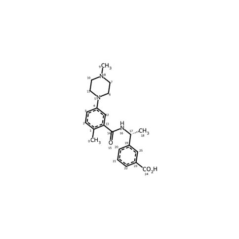 Cc1ccc(N2CCN(C)CC2)cc1C(=O)N[C@H](C)c1cccc(C(=O)O)c1